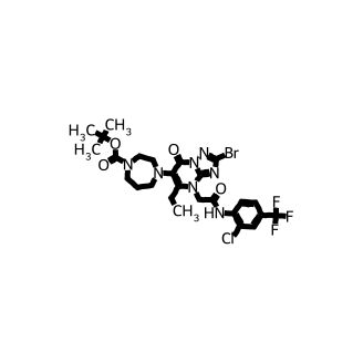 CCc1c(N2CCCN(C(=O)OC(C)(C)C)CC2)c(=O)n2nc(Br)nc2n1CC(=O)Nc1ccc(C(F)(F)F)cc1Cl